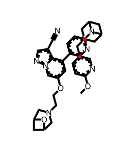 COc1ccc(CN2CC3CC(C2)N3c2ccc(-c3cc(OCCN4CC5CC(C4)O5)cn4ncc(C#N)c34)cn2)cn1